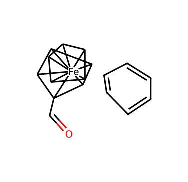 O=C[C]12[CH]3[CH]4[CH]5[CH]1[Fe]45321678[CH]2[CH]1[CH]6[CH]7[CH]28.c1ccccc1